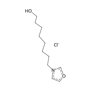 OCCCCCCCC[n+]1ccoc1.[Cl-]